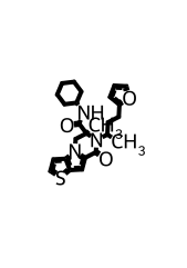 CC(CCc1ccco1)N1C(=O)c2cc3sccc3n2CC1(C)C(=O)NC1CCCCC1